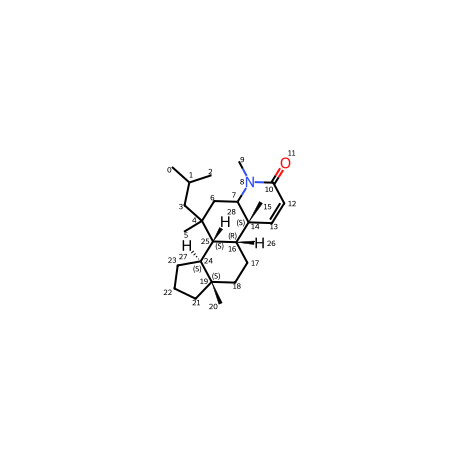 CC(C)CC1(C)CC2N(C)C(=O)C=C[C@]2(C)[C@@H]2CC[C@]3(C)CCC[C@H]3[C@@H]21